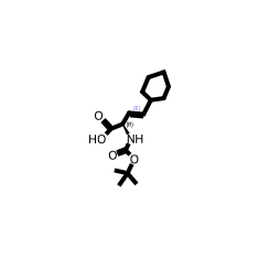 CC(C)(C)OC(=O)N[C@H](/C=C/C1CCCCC1)C(=O)O